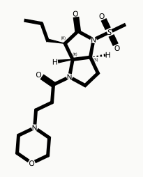 CCC[C@H]1C(=O)N(S(C)(=O)=O)[C@H]2CCN(C(=O)CCN3CCOCC3)[C@H]12